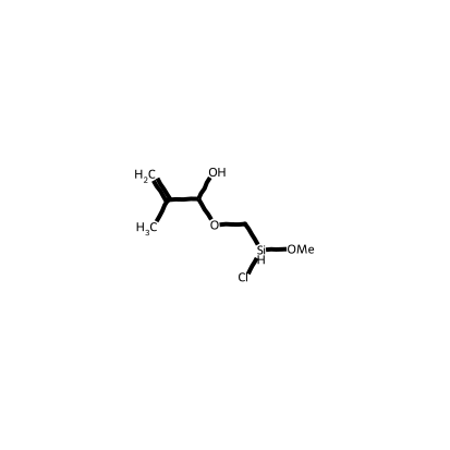 C=C(C)C(O)OC[SiH](Cl)OC